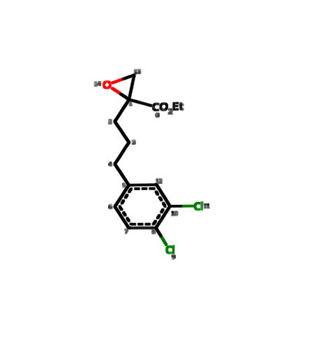 CCOC(=O)C1(CCCc2ccc(Cl)c(Cl)c2)CO1